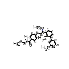 Cc1cc(-c2cccc(/C(CCc3ccc(C(=O)NCCO)cc3)=N/O)c2C)ccn1